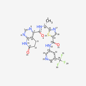 C[C@@H](NC(=O)c1ncnc2c1CCC(=O)N2)c1ncc(C(=O)Nc2cncc(C(F)(F)F)c2)s1